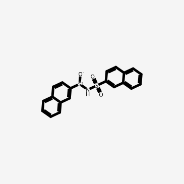 O=S(=O)(N[S+]([O-])c1ccc2ccccc2c1)c1ccc2ccccc2c1